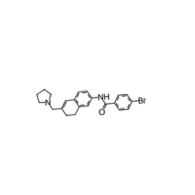 O=C(Nc1ccc2c(c1)CCC(CN1CCCC1)=C2)c1ccc(Br)cc1